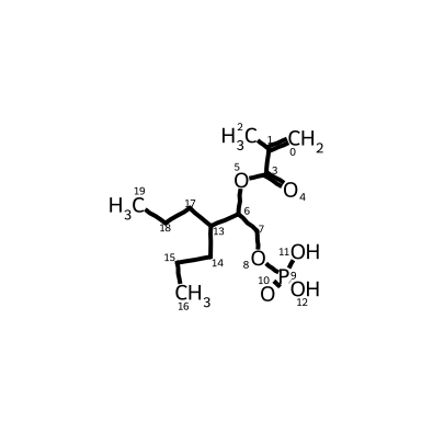 C=C(C)C(=O)OC(COP(=O)(O)O)C(CCC)CCC